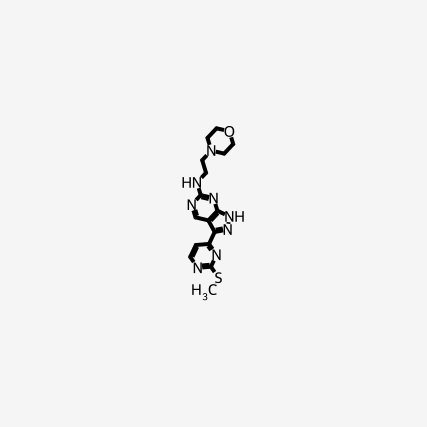 CSc1nccc(-c2n[nH]c3nc(NCCN4CCOCC4)ncc23)n1